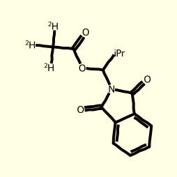 [2H]C([2H])([2H])C(=O)OC(C(C)C)N1C(=O)c2ccccc2C1=O